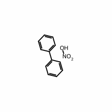 O=[N+]([O-])O.c1ccc(-c2ccccc2)cc1